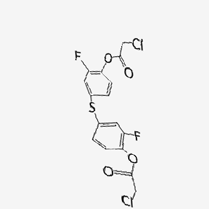 O=C(CCl)Oc1ccc(Sc2ccc(OC(=O)CCl)c(F)c2)cc1F